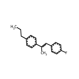 CCCc1ccc(C(C)=Cc2ccc(F)cc2)cc1